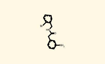 Nc1cccc(CC(=O)NCc2ccccc2Br)c1